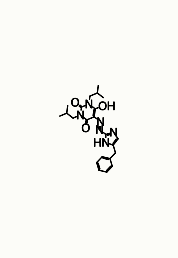 CC(C)Cn1c(O)c(N=Nc2ncc(Cc3ccccc3)[nH]2)c(=O)n(CC(C)C)c1=O